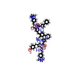 COc1ccc(CC2CC(C(=O)NCC3=Cc4nnn(C)c4CC3)N(C(=O)C3CC(N4CCCCC4c4ccc(CC5CC(C(=O)NCc6ccc7c(c6)nnn7C)N(C(=O)C6CC(c7ccccc7)CN6)C5)c(C#N)c4)CN3)C2)cc1